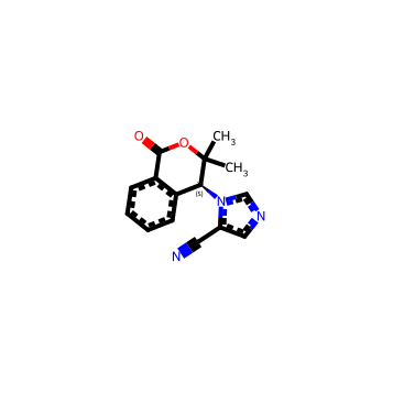 CC1(C)OC(=O)c2ccccc2[C@@H]1n1cncc1C#N